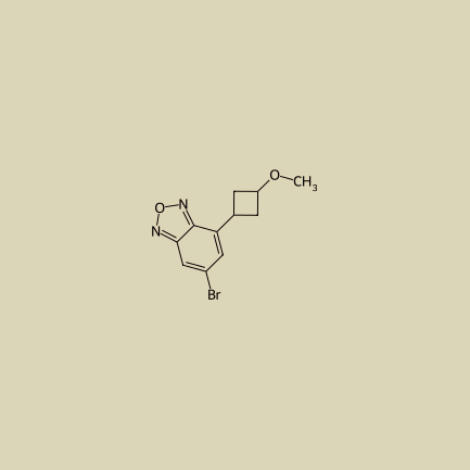 COC1CC(c2cc(Br)cc3nonc23)C1